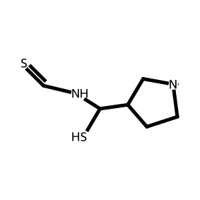 S=CNC(S)C1CC[N]C1